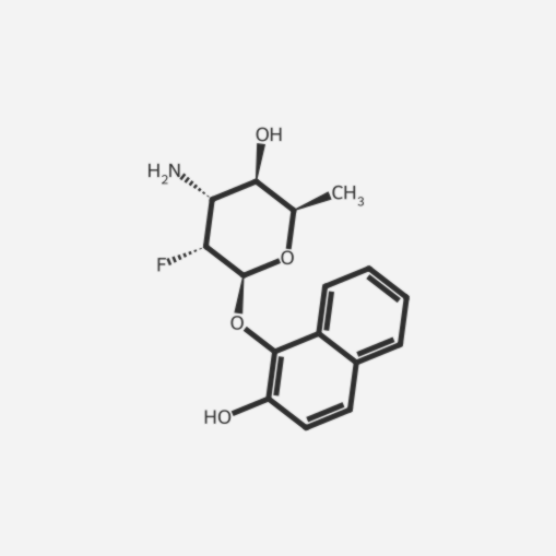 C[C@H]1O[C@@H](Oc2c(O)ccc3ccccc23)[C@H](F)[C@H](N)[C@H]1O